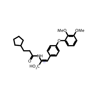 COc1cccc(Oc2ccc(/C=C(\NC(=O)CCC3CCCC3)C(=O)O)cc2)c1OC